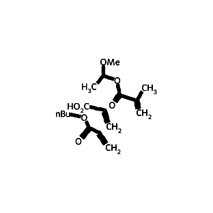 C=C(C)C(=O)OC(C)OC.C=CC(=O)O.C=CC(=O)OCCCC